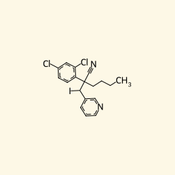 CCCCC(C#N)(c1ccc(Cl)cc1Cl)C(I)c1cccnc1